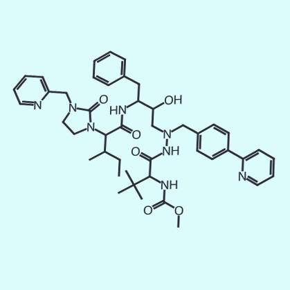 CCC(C)C(C(=O)NC(Cc1ccccc1)C(O)CN(Cc1ccc(-c2ccccn2)cc1)NC(=O)C(NC(=O)OC)C(C)(C)C)N1CCN(Cc2ccccn2)C1=O